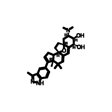 Cc1n[nH]c2ccc(C3=CCC4[C@@]56CC[C@]7(C[C@H](N(C)C)[C@@H](O)[C@H](O)C7=CC5=CC(C)(C)[C@]34C)O6)cc12